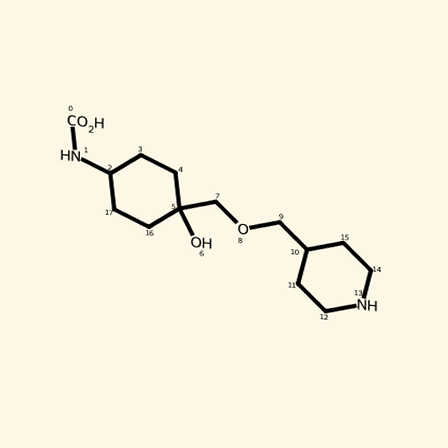 O=C(O)NC1CCC(O)(COCC2CCNCC2)CC1